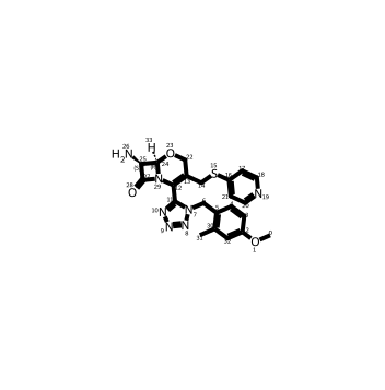 COc1ccc(Cn2nnnc2C2=C(CSc3ccncc3)CO[C@@H]3[C@H](N)C(=O)N23)c(C)c1